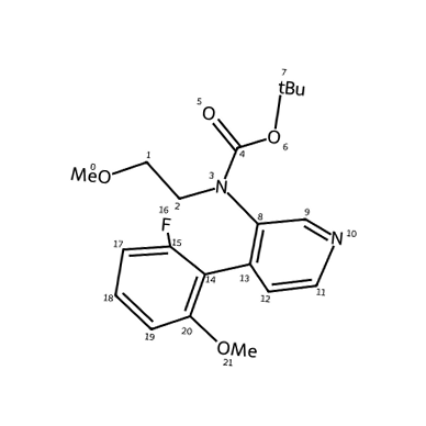 COCCN(C(=O)OC(C)(C)C)c1cnccc1-c1c(F)cccc1OC